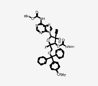 C#CC1(O)C(n2cnc3c(NC(=O)OC(C)(C)C)ncnc32)OC(F)(COC(c2ccccc2)(c2ccccc2)c2ccc(OC)cc2)C1OC(=O)CCCCCCCCC